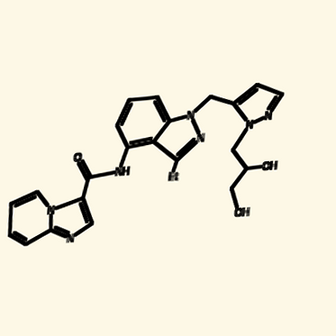 CCc1nn(Cc2ccnn2CC(O)CO)c2cccc(NC(=O)c3cnc4ccccn34)c12